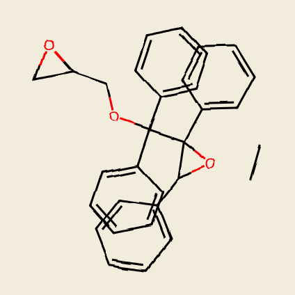 CC.c1ccc(C2OC2(c2ccccc2)C(OCC2CO2)(c2ccccc2)c2ccccc2)cc1